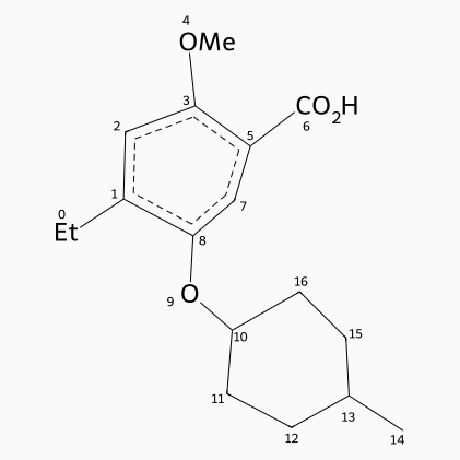 CCc1cc(OC)c(C(=O)O)cc1OC1CCC(C)CC1